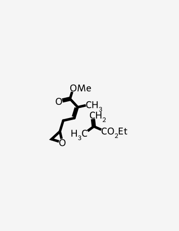 COC(=O)C(C)=CCC1CO1.[CH2]COC(=O)C(=C)C